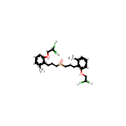 [O-][S+](CCCc1c(OCC(F)F)cccc1C(F)(F)F)CCCc1c(OCC(F)F)cccc1C(F)(F)F